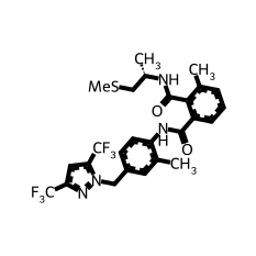 CSC[C@H](C)NC(=O)c1c(C)cccc1C(=O)Nc1ccc(Cn2nc(C(F)(F)F)cc2C(F)(F)F)cc1C